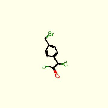 O=C(Cl)C(Cl)c1ccc(CBr)cc1